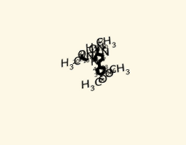 COc1ccc(-c2cc3ncn(C)c(=O)c3c(NC[C@H](C)O)n2)cc1OC